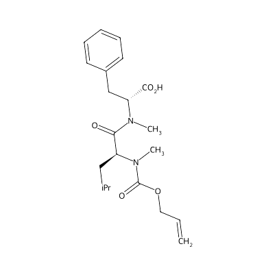 C=CCOC(=O)N(C)[C@@H](CC(C)C)C(=O)N(C)[C@H](Cc1ccccc1)C(=O)O